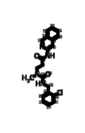 CN(CCC(=O)Nc1cc2ccccc2cn1)C(=O)NCc1ccccc1Cl